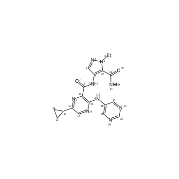 CCn1ncc(NC(=O)c2nc(C3CC3)cnc2Nc2cncnc2)c1C(=O)NC